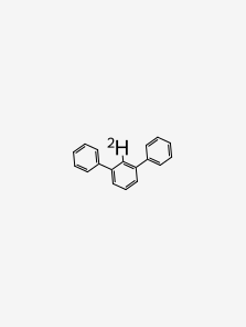 [2H]c1c(-c2ccccc2)cccc1-c1ccccc1